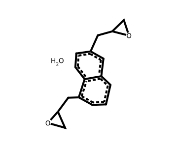 O.c1cc(CC2CO2)c2ccc(CC3CO3)cc2c1